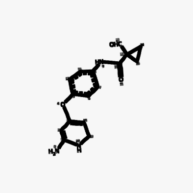 NC1=CC(Oc2ccc(NC(=O)C3(C=O)CC3)cc2)=CCN1